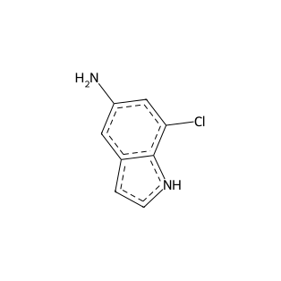 Nc1cc(Cl)c2[nH]ccc2c1